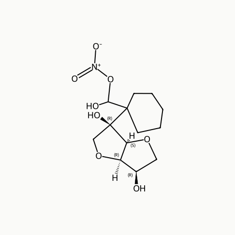 O=[N+]([O-])OC(O)C1([C@@]2(O)CO[C@@H]3[C@H](O)CO[C@@H]32)CCCCC1